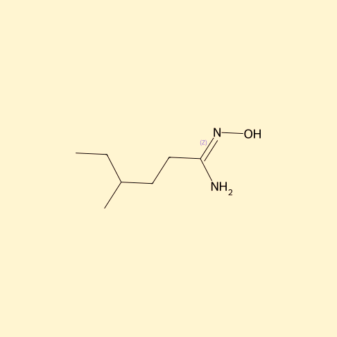 CCC(C)CC/C(N)=N/O